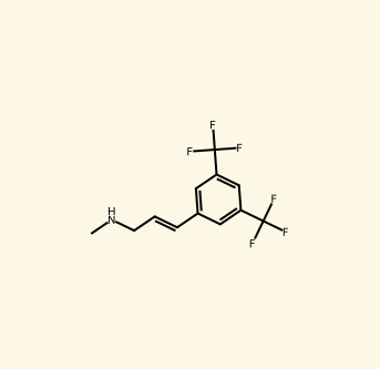 CNCC=Cc1cc(C(F)(F)F)cc(C(F)(F)F)c1